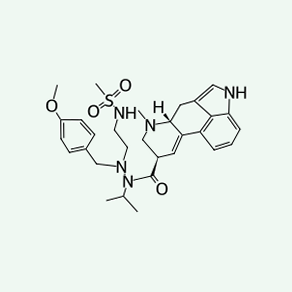 COc1ccc(CN(CCNS(C)(=O)=O)N(C(=O)[C@@H]2C=C3c4cccc5[nH]cc(c45)C[C@H]3N(C)C2)C(C)C)cc1